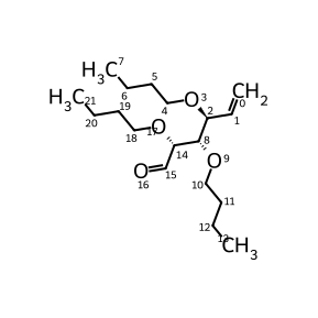 C=C[C@H](OCCCC)[C@H](OCCCC)[C@H](C=O)OCCCC